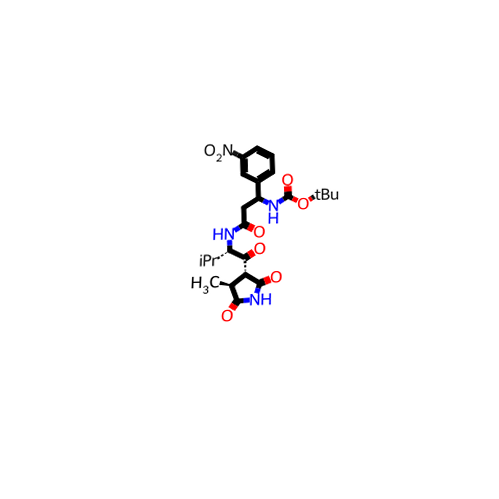 CC(C)[C@H](NC(=O)CC(NC(=O)OC(C)(C)C)c1cccc([N+](=O)[O-])c1)C(=O)[C@@H]1C(=O)NC(=O)[C@H]1C